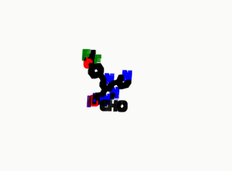 CC(F)(F)Oc1ccc(-c2cc(CCOI)c(/N=C\NC=O)c(-c3cccnc3)n2)cc1